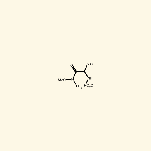 CCCCC(NC(=O)O)C(=O)N(C)OC